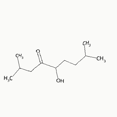 CC(C)CCC(O)C(=O)CC(C)C